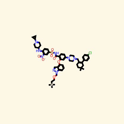 CC1(C)CCC(CN2CCN(c3ccc(C(=O)NS(=O)(=O)c4ccc(NC5CCN(C6CC6)CC5)c([N+](=O)[O-])c4)c(Oc4cccc5c4cnn5COCC[Si](C)(C)C)c3)CC2)=C(c2ccc(Cl)cc2)C1